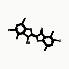 Cc1cc(Cl)c(C)c2c1S/C(=C1/Sc3c(C)cc(Cl)c(C)c3C1O)C2=O